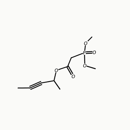 CC#CC(C)OC(=O)CP(=O)(OC)OC